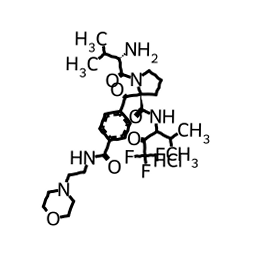 CC(C)C(NC(=O)[C@]1(C(=O)c2ccc(C(=O)NCCN3CCOCC3)cc2)CCCN1C(=O)[C@@H](N)C(C)C)C(=O)C(F)(F)F.Cl